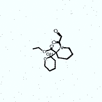 CCOC(=O)C1(C2(O)CCCCO2)CCCCN1C(=O)C=O